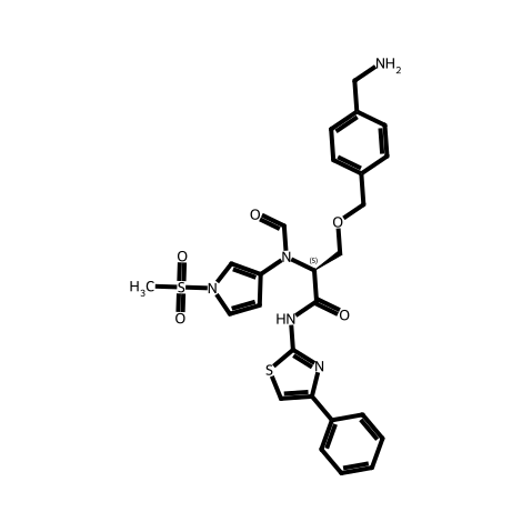 CS(=O)(=O)n1ccc(N(C=O)[C@@H](COCc2ccc(CN)cc2)C(=O)Nc2nc(-c3ccccc3)cs2)c1